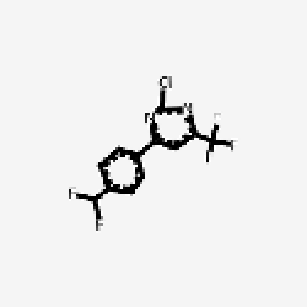 FC(F)c1ccc(-c2cc(C(F)(F)F)nc(Cl)n2)cc1